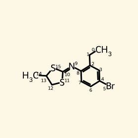 CCc1cc(Br)ccc1/N=C1\SCC(C)S1